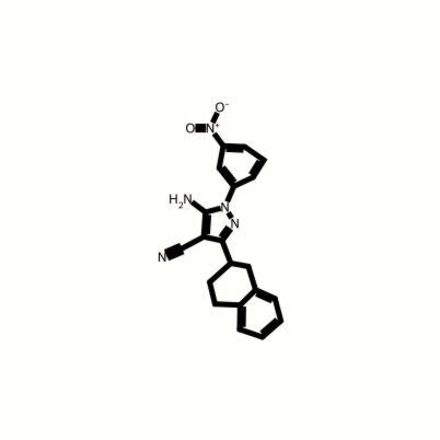 N#Cc1c(C2CCc3ccccc3C2)nn(-c2cccc([N+](=O)[O-])c2)c1N